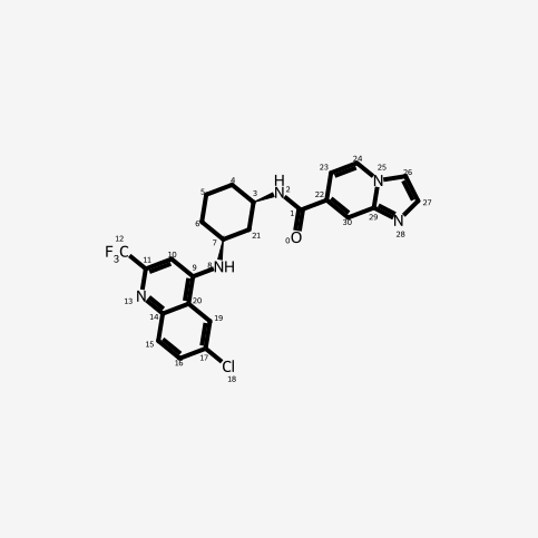 O=C(N[C@@H]1CCC[C@H](Nc2cc(C(F)(F)F)nc3ccc(Cl)cc23)C1)c1ccn2ccnc2c1